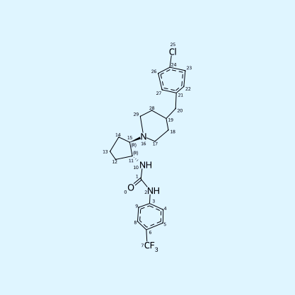 O=C(Nc1ccc(C(F)(F)F)cc1)N[C@@H]1CCC[C@H]1N1CCC(Cc2ccc(Cl)cc2)CC1